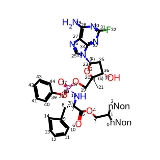 CCCCCCCCCC(CCCCCCCCC)COC(=O)[C@H](Cc1ccccc1)N[P@](=O)(OC[C@@]1(C)O[C@@H](n2cnc3c(N)nc(F)nc32)C[C@@H]1O)Oc1ccccc1